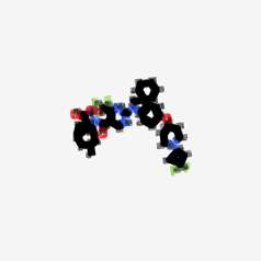 CC1CC2CC(C1)C(NC(=O)c1cnc(N3CC4(CCCCC4)c4cc(OC5CCN(C6CC(F)(F)C6)CC5)ccc43)nc1C(F)(F)F)(C(=O)O)C2